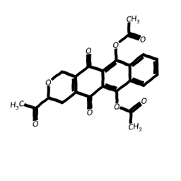 CC(=O)Oc1c2c(c(OC(C)=O)c3ccccc13)C(=O)C1=C(COC(C(C)=O)C1)C2=O